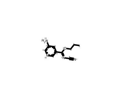 CCCOC(=NC#N)c1cncc(N)c1